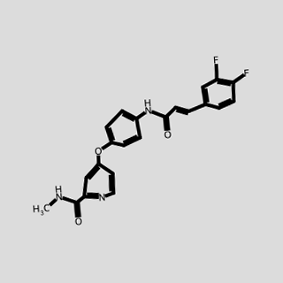 CNC(=O)c1cc(Oc2ccc(NC(=O)C=Cc3ccc(F)c(F)c3)cc2)ccn1